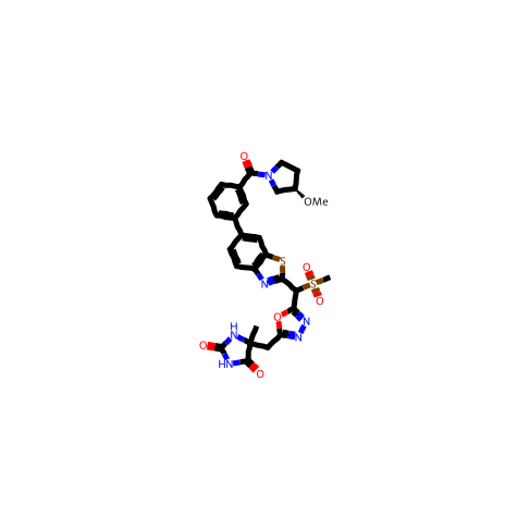 CO[C@@H]1CCN(C(=O)c2cccc(-c3ccc4nc(C(c5nnc(CC6(C)NC(=O)NC6=O)o5)S(C)(=O)=O)sc4c3)c2)C1